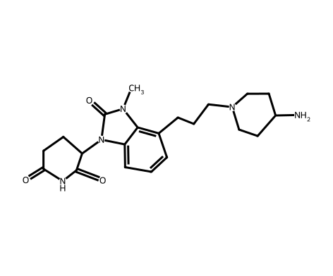 Cn1c(=O)n(C2CCC(=O)NC2=O)c2cccc(CCCN3CCC(N)CC3)c21